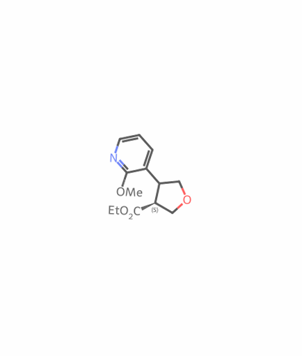 CCOC(=O)[C@@H]1COCC1c1cccnc1OC